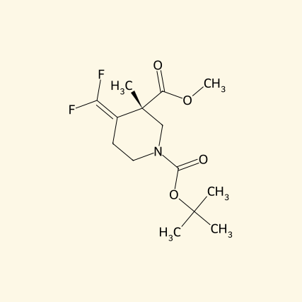 COC(=O)[C@]1(C)CN(C(=O)OC(C)(C)C)CCC1=C(F)F